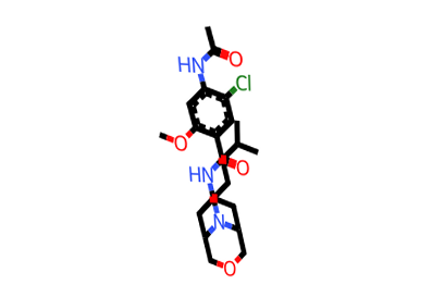 COc1cc(NC(C)=O)c(Cl)cc1C(=O)NC1CC2COCC(C1)N2CCCC(C)C